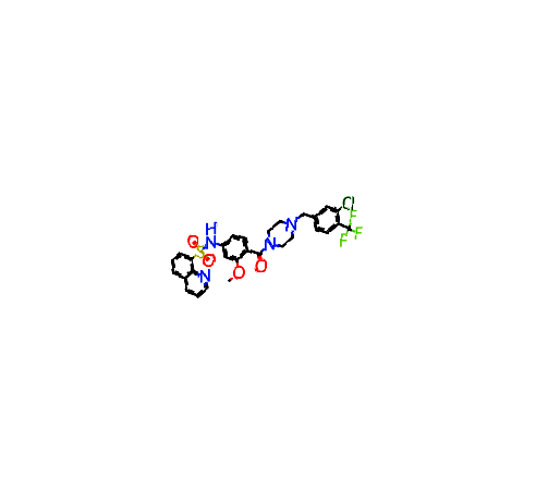 COc1cc(NS(=O)(=O)c2cccc3cccnc23)ccc1C(=O)N1CCN(Cc2ccc(C(F)(F)F)c(Cl)c2)CC1